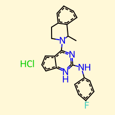 CC1c2ccccc2CCN1c1nc(Nc2ccc(F)cc2)[nH]c2cccc1-2.Cl